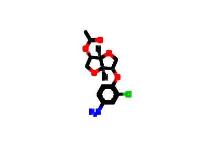 CC(=O)O[C@H]1CO[C@@H]2C(Oc3ccc(N)cc3Cl)CO[C@H]12